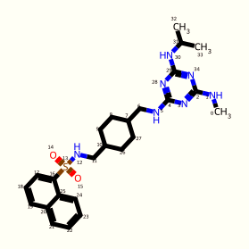 CNc1nc(NCC2CCC(CNS(=O)(=O)c3cccc4ccccc34)CC2)nc(NC(C)C)n1